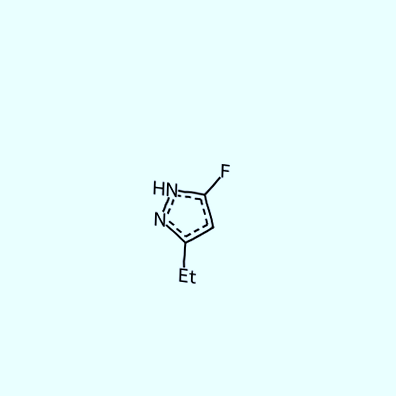 CCc1cc(F)[nH]n1